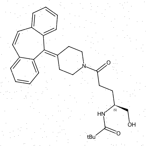 CC(C)(C)C(=O)N[C@H](CO)CCC(=O)N1CCC(=C2c3ccccc3C=Cc3ccccc32)CC1